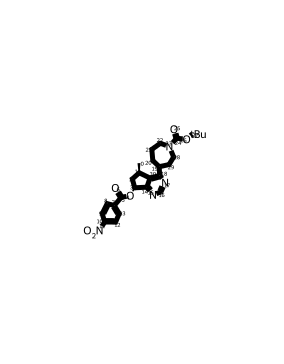 C[C@@H]1C[C@@H](OC(=O)c2ccc([N+](=O)[O-])cc2)c2ncnc(C3CCCN(C(=O)OC(C)(C)C)CC3)c21